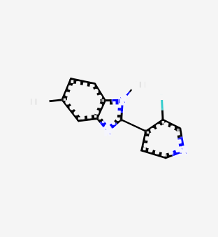 Cc1ccc2c(c1)nc(-c1ccncc1F)n2C